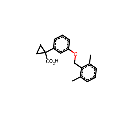 Cc1cccc(C)c1COc1cccc(C2(C(=O)O)CC2)c1